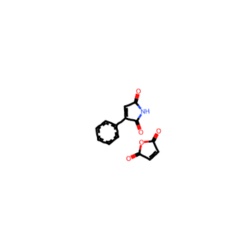 O=C1C=C(c2ccccc2)C(=O)N1.O=C1C=CC(=O)O1